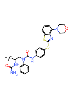 CC(CN(C(=O)Nc1ccc(Sc2nc3c(N4CCOCC4)cccc3s2)cc1)c1ccccc1)NC(N)=O